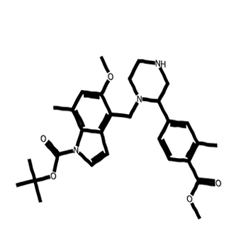 COC(=O)c1ccc(C2CNCCN2Cc2c(OC)cc(C)c3c2ccn3C(=O)OC(C)(C)C)cc1C